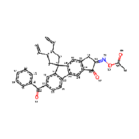 C=CCCC1(CCC=C)c2cc(C(=O)c3ccccc3)ccc2-c2cc3c(cc21)C/C(=N/OC(C)=O)C3=O